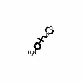 CC(C)(CCN1CCOCC1)c1ccc(N)cc1